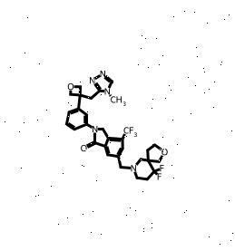 Cn1cnnc1CC1(c2cccc(N3Cc4c(cc(CN5CCC(F)(F)C6(CCOC6)C5)cc4C(F)(F)F)C3=O)c2)COC1